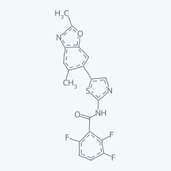 Cc1nc2cc(C)c(-c3cnc(NC(=O)c4c(F)ccc(F)c4F)s3)cc2o1